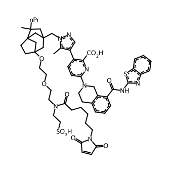 CCCC1(C)CC2(Cn3ncc(-c4ccc(N5CCc6cccc(C(=O)Nc7nc8ccccc8s7)c6C5)nc4C(=O)O)c3C)CC3(OCCOCCN(CCS(=O)(=O)O)C(=O)CCCCCN4C(=O)C=CC4=O)CCC1(C2)C3